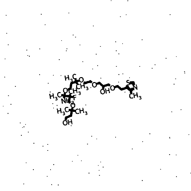 Cc1ncsc1CCOCC(O)COCCOC(C)(C)CCOC(C)(N)C(C)(F)COC(C)(C)CCO